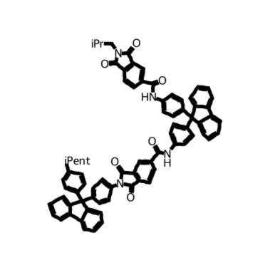 CCCC(C)c1ccc(C2(c3ccc(N4C(=O)c5ccc(C(=O)Nc6ccc(C7(c8ccc(NC(=O)c9ccc%10c(c9)C(=O)N(CC(C)C)C%10=O)cc8)c8ccccc8-c8ccccc87)cc6)cc5C4=O)cc3)c3ccccc3-c3ccccc32)cc1